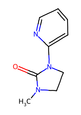 CN1CCN(c2ccccn2)C1=O